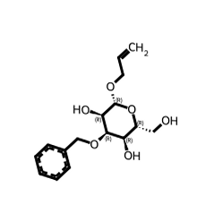 C=CCO[C@@H]1O[C@H](CO)[C@@H](O)[C@@H](OCc2ccccc2)[C@H]1O